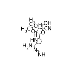 CC1(C)O[C@H]2[C@H](c3ccc(/C(N)=N\C=N)[nH]3)O[C@](C#N)(CO)[C@H]2O1